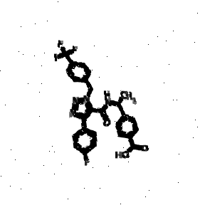 C[C@H](NC(=O)c1c(-c2ccc(F)cc2)nnn1Cc1ccc(C(F)(F)F)cc1)c1ccc(C(=O)O)cc1